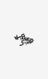 B[C@@](C)(NC(=O)c1c(N)nn2cccnc12)c1cc2cccc(C#Cc3cnn(C)c3C)c2c(=O)n1C/C=C\C=C/C#C